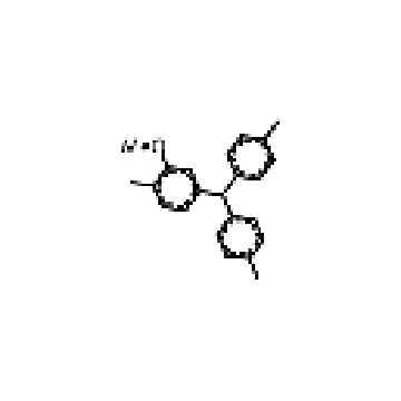 COc1cc(C(c2ccc(C)cc2)c2ccc(C)cc2)ccc1C